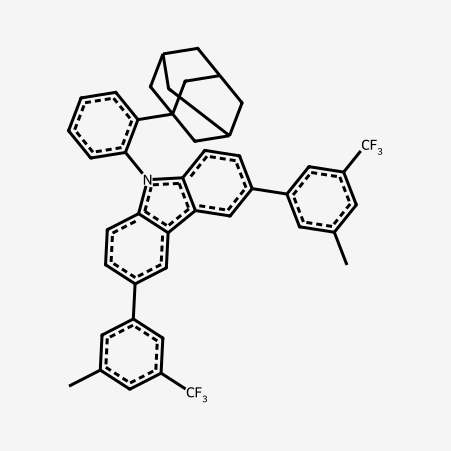 Cc1cc(-c2ccc3c(c2)c2cc(-c4cc(C)cc(C(F)(F)F)c4)ccc2n3-c2ccccc2C23CC4CC(CC(C4)C2)C3)cc(C(F)(F)F)c1